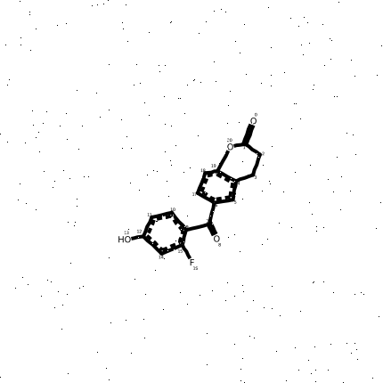 O=C1CCc2cc(C(=O)c3ccc(O)cc3F)ccc2O1